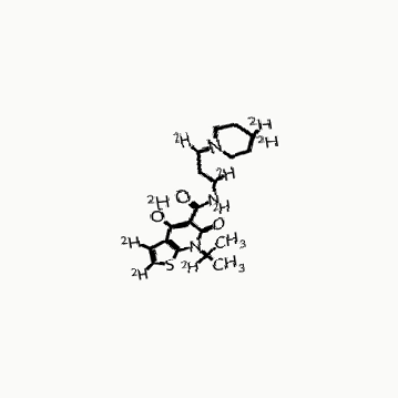 [2H]Oc1c(C(=O)N([2H])C([2H])CC([2H])N2CCC([2H])([2H])CC2)c(=O)n(C([2H])(C)C)c2sc([2H])c([2H])c12